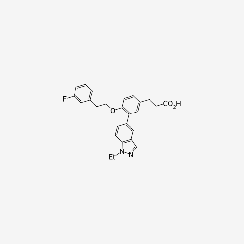 CCn1ncc2cc(-c3cc(CCC(=O)O)ccc3OCCc3cccc(F)c3)ccc21